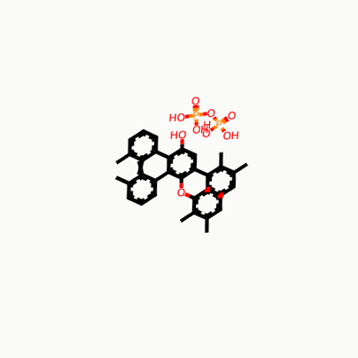 Cc1cccc(Oc2c(-c3cccc(C)c3C)cc(O)c(-c3cccc(C)c3C)c2-c2cccc(C)c2C)c1C.O=P(O)(O)OP(=O)(O)O